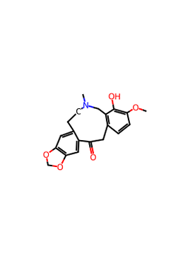 COc1ccc2c(c1O)CN(C)CCc1cc3c(cc1C(=O)C2)OCO3